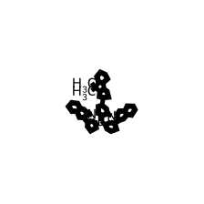 CC1(C)c2ccccc2-c2ccc(-c3cc4c5c(c3)-n3c6cc7ccccc7cc6c6cccc(c63)B5c3cccc5c6cc7ccccc7cc6n-4c35)cc21